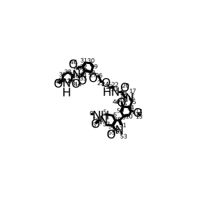 CNC(=O)N1CCc2c(-c3cc(OC)c(CN(C)CC(=O)NCCOCCOc4cccc5c4C(=O)N(C4CCC(=O)NC4=O)C5=O)c(OC)c3)cn(C)c(=O)c2C1